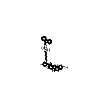 CC1=C2C[C@H]3[C@@H](CC=C4C[C@@H](O)CC[C@@]43C)[C@@H]2CC[C@]12OC1C[C@H](C)CN(CCCCCCNC(=O)OCC3c4ccccc4-c4ccccc43)C1[C@H]2C